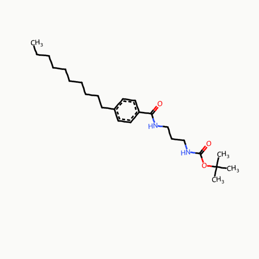 CCCCCCCCCCc1ccc(C(=O)NCCCNC(=O)OC(C)(C)C)cc1